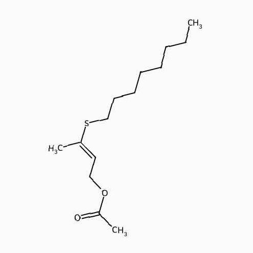 CCCCCCCCSC(C)=CCOC(C)=O